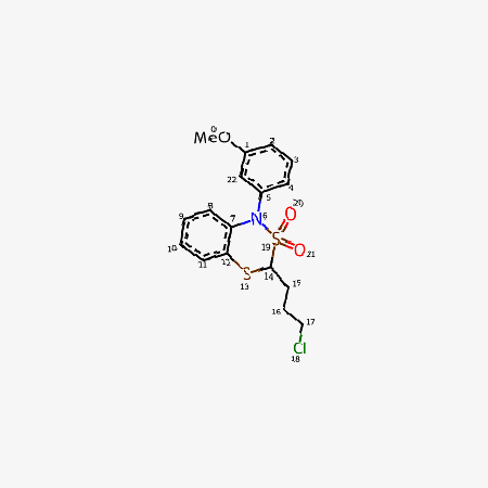 COc1cccc(N2c3ccccc3SC(CCCCl)S2(=O)=O)c1